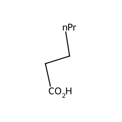 CCCCC[13C](=O)O